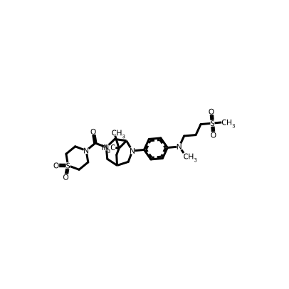 CN(CCCS(C)(=O)=O)c1ccc(N2CC3CN(C(=O)N4CCS(=O)(=O)CC4)CC2C(C)(C)C3)cc1